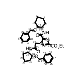 CCOC(=O)c1nc(C(=O)N[C@H]2CCCC[C@@H]2OCc2ccccc2)n(CC(=O)N[C@H]2CCCC[C@@H]2OCc2ccccc2)n1